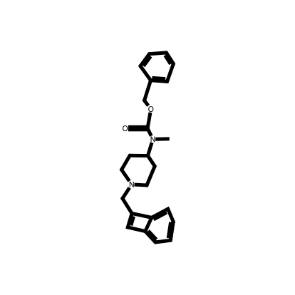 CN(C(=O)OCc1ccccc1)C1CCN(CC2=Cc3ccccc32)CC1